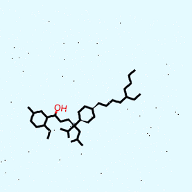 CCCCC(CC)CCCC[C@H]1CC[C@@H]([C@](CCC(O)C2CC(C)CCC2CC)(CC(C)C)C(C)C)CC1